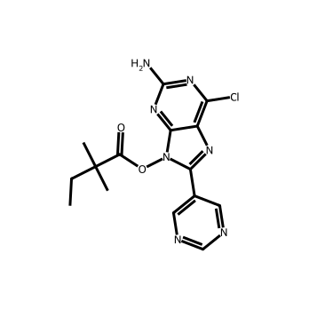 CCC(C)(C)C(=O)On1c(-c2cncnc2)nc2c(Cl)nc(N)nc21